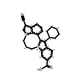 N#Cc1cn2c3c(cccc13)-c1c(C3CCCCC3)c3ccc(C(=O)O)cc3n1CCC2